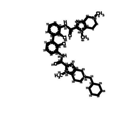 CN1CCc2c(nc(C(=O)Nc3cccc(-c4cccc(NC(=O)c5nc6c(n5C)CCN(CC5CCCCC5)C6)c4Cl)c3Cl)n2C)C1